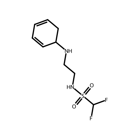 O=S(=O)(NCCNC1C=CC=CC1)C(F)F